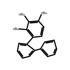 CCCCc1ccc(-c2ccccc2-c2ccccc2)c(CCCC)c1CCCC